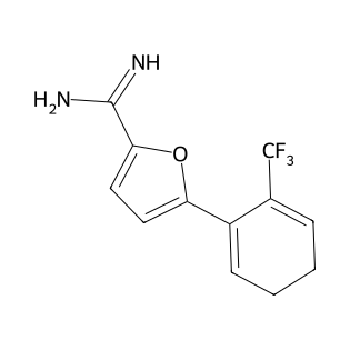 N=C(N)c1ccc(C2=CCCC=C2C(F)(F)F)o1